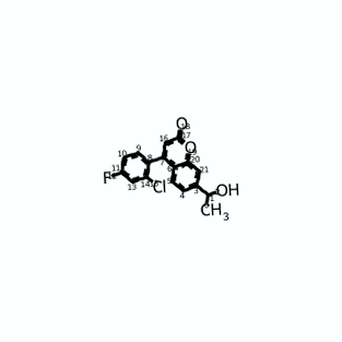 CC(O)c1ccc2c(-c3ccc(F)cc3Cl)cc(=O)oc2c1